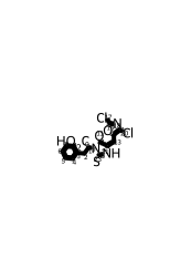 O=C(O)C(Cc1ccccc1)N1C(=O)/C(=C\c2oc(Cl)nc2Cl)NC1=S